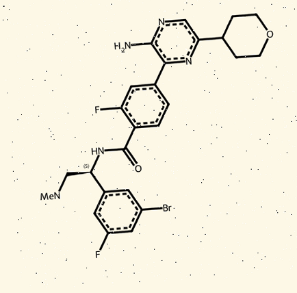 CNC[C@@H](NC(=O)c1ccc(-c2nc(C3CCOCC3)cnc2N)cc1F)c1cc(F)cc(Br)c1